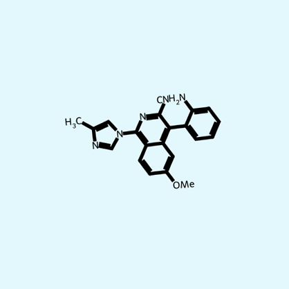 COc1ccc2c(-n3cnc(C)c3)nc(C#N)c(-c3ccccc3N)c2c1